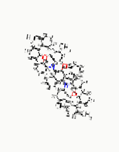 Cc1ccc(N(c2cccc3c2oc2c(-c4ccccc4C)cccc23)c2c3ccccc3c(N(c3ccc(C)cc3)c3cccc4c3oc3c(-c5ccccc5C)cccc34)c3c2oc2ccccc23)cc1